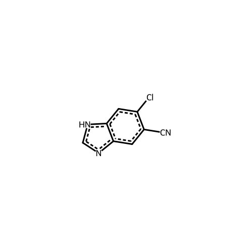 N#Cc1cc2nc[nH]c2cc1Cl